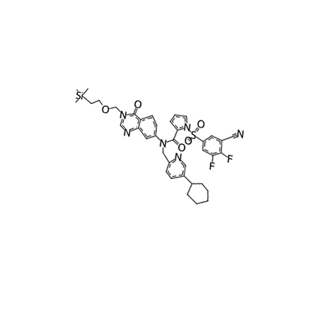 C[Si](C)(C)CCOCn1cnc2cc(N(Cc3ccc(C4CCCCC4)cn3)C(=O)c3cccn3S(=O)(=O)c3cc(F)c(F)c(C#N)c3)ccc2c1=O